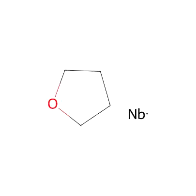 C1CCOC1.[Nb]